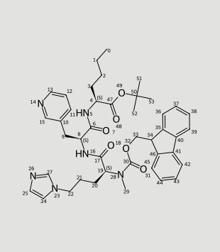 CCCC[C@H](NC(=O)[C@H](Cc1cccnc1)NC(=O)[C@H](CCCn1ccnc1)N(C)C(=O)OCC1c2ccccc2-c2ccccc21)C(=O)OC(C)(C)C